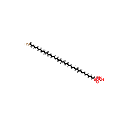 O=P(O)(O)OCCCCCCCCCCCCCCCCCCCCCCCCCCCCCCCCCCCCCCCS